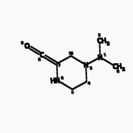 CN(C)N1CCNC(=C=O)C1